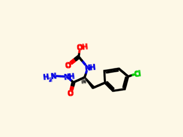 NNC(=O)[C@H](Cc1ccc(Cl)cc1)NC(=O)O